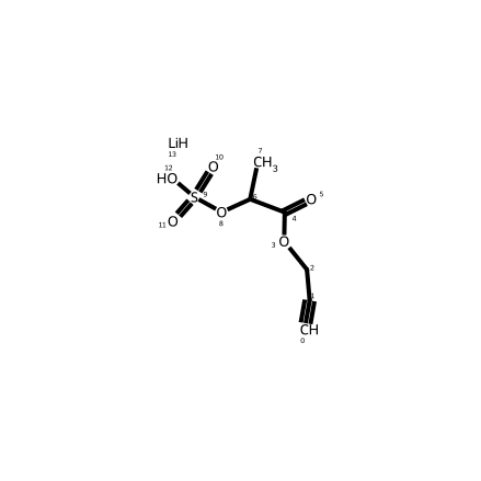 C#CCOC(=O)C(C)OS(=O)(=O)O.[LiH]